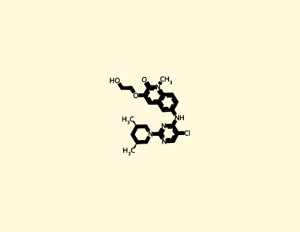 C[C@@H]1C[C@H](C)CN(c2ncc(Cl)c(Nc3ccc4c(c3)cc(OCCO)c(=O)n4C)n2)C1